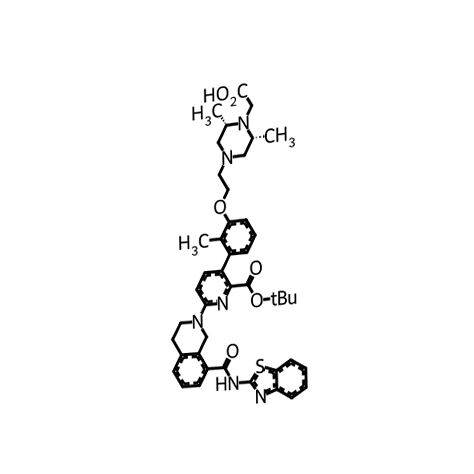 Cc1c(OCCN2C[C@@H](C)N(CC(=O)O)[C@@H](C)C2)cccc1-c1ccc(N2CCc3cccc(C(=O)Nc4nc5ccccc5s4)c3C2)nc1C(=O)OC(C)(C)C